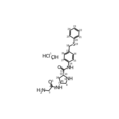 Cl.Cl.NCC(=O)N[C@H]1CN[C@H](C(=O)Nc2ccc(CSc3ccccc3)cc2)C1